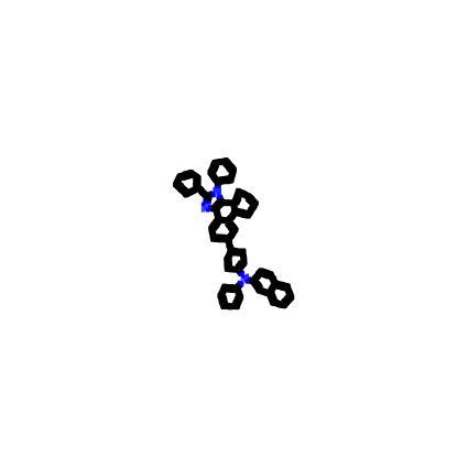 c1ccc(-c2nc3c4ccc(-c5ccc(N(c6ccccc6)c6ccc7ccccc7c6)cc5)cc4c4ccccc4c3n2-c2ccccc2)cc1